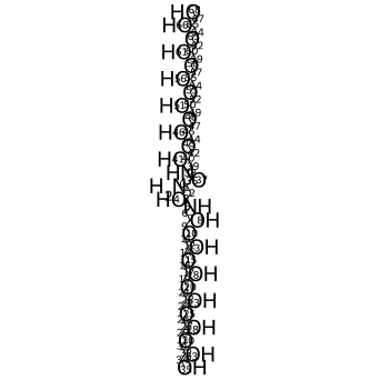 N[C@H](CC(O)NCC(O)COCC(O)COCC(O)COCC(O)COCC(O)COCC(O)CO)C(=O)NCC(O)COCC(O)COCC(O)COCC(O)COCC(O)COCC(O)CO